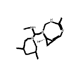 CNC(N1CC(C)CC(C)C1)N1CN/C(C)=N\C=C2\C[C@H]21